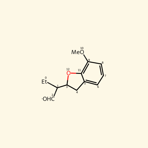 CCC([C]=O)C1Cc2cccc(OC)c2O1